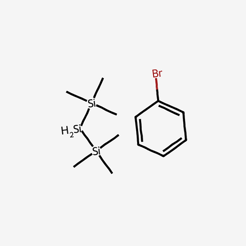 Brc1ccccc1.C[Si](C)(C)[SiH2][Si](C)(C)C